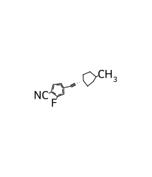 C[C@H]1CC[C@H](C#Cc2ccc(C#N)c(F)c2)CC1